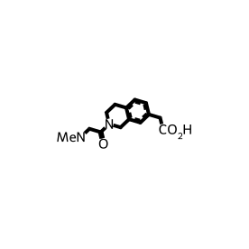 CNCC(=O)N1CCc2ccc(CC(=O)O)cc2C1